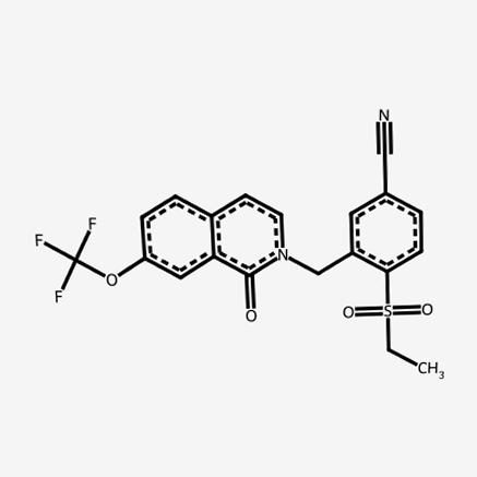 CCS(=O)(=O)c1ccc(C#N)cc1Cn1ccc2ccc(OC(F)(F)F)cc2c1=O